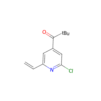 C=Cc1cc(C(=O)C(C)(C)C)cc(Cl)n1